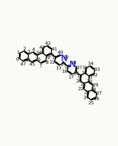 c1ccc2cc3c(ccc4c(-c5ccc(-c6ccc(-c7cc8cc9ccccc9cc8c8ccccc78)cn6)nc5)cccc43)cc2c1